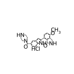 COc1ccc(-c2cc3cc(C(=O)N4CCNCC4)ccc3[nH]2)c2c1CNC2=O.Cl